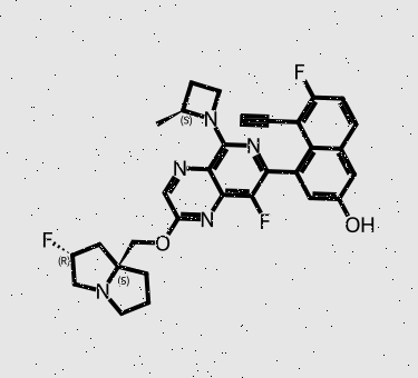 C#Cc1c(F)ccc2cc(O)cc(-c3nc(N4CC[C@@H]4C)c4ncc(OC[C@@]56CCCN5C[C@H](F)C6)nc4c3F)c12